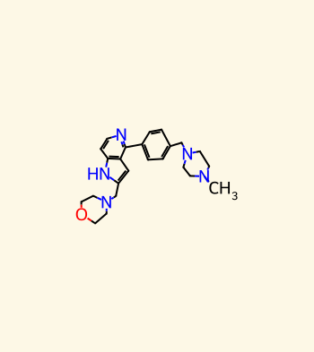 CN1CCN(Cc2ccc(-c3nccc4[nH]c(CN5CCOCC5)cc34)cc2)CC1